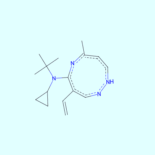 C=Cc1cn[nH]ccc(C)nc1N(C1CC1)C(C)(C)C